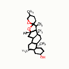 CC1=C2C[C@@H](O)CC[C@]2(C)C2CC[C@@]3(C)C(C[C@@H]4OC5(CCC(C)CO5)C(C)C43)C2C1